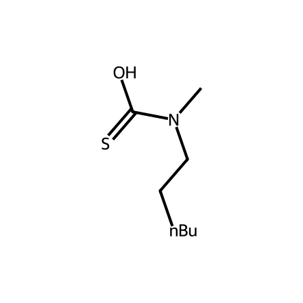 CCCCCCN(C)C(O)=S